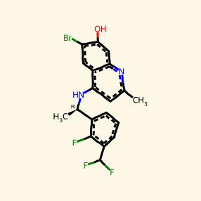 Cc1cc(N[C@H](C)c2cccc(C(F)F)c2F)c2cc(Br)c(O)cc2n1